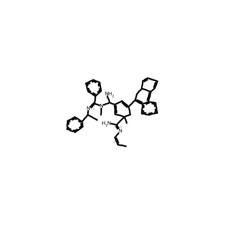 C/C=C\N=C(/N)C1(C)C=C(C(N)N(C)/C(=N\C(C)c2ccccc2)c2ccccc2)C=C(C2=c3ccccc3=C3C=CC=CC3C2)C1